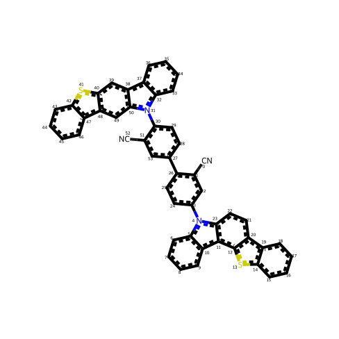 N#Cc1cc(-n2c3ccccc3c3c4sc5ccccc5c4ccc32)ccc1-c1ccc(-n2c3ccccc3c3cc4sc5ccccc5c4cc32)c(C#N)c1